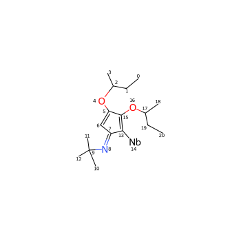 CCC(C)OC1=CC(=NC(C)(C)C)[C]([Nb])=C1OC(C)CC